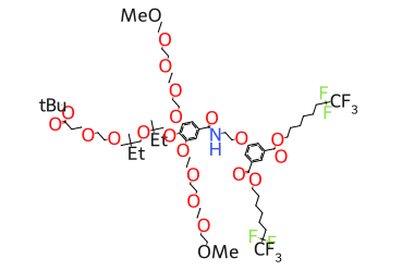 CCC(C)(COCCOCCC(=O)OC(C)(C)C)COC(C)(CC)COc1c(OCCOCCOCCOCCOC)cc(C(=O)NCCOc2cc(C(=O)OCCCCCCC(F)(F)C(F)(F)F)cc(C(=O)OCCCCCCC(F)(F)C(F)(F)F)c2)cc1OCCOCCOCCOCCOC